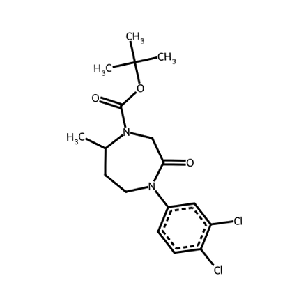 CC1CCN(c2ccc(Cl)c(Cl)c2)C(=O)CN1C(=O)OC(C)(C)C